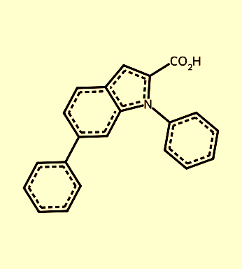 O=C(O)c1cc2ccc(-c3ccccc3)cc2n1-c1ccccc1